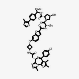 COC(NC(=O)[C@@H]1C[C@@H](O)CN1C(=O)[C@@H](NC(=O)c1cc2ccc(O[C@H]3C[C@@H](NC(=O)C[C@@H]4N=C(c5ccc(Cl)cc5)c5c(sc(C)c5C)-n5c(C)nnc54)C3)cc2o1)C(C)(C)C)c1ccc(-c2scnc2C)cc1